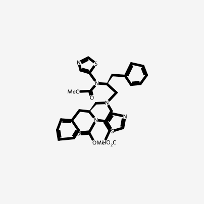 COC(=O)N(c1cncs1)[C@@H](Cc1ccccc1)CN(CCCC(=O)O)C[C@H](Cc1ccccc1)N(C(=O)OC)c1cncs1